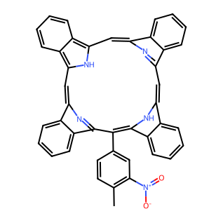 Cc1ccc(-c2c3nc(cc4[nH]c(cc5nc(cc6[nH]c2c2ccccc62)-c2ccccc2-5)c2ccccc42)-c2ccccc2-3)cc1[N+](=O)[O-]